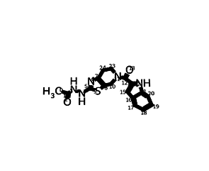 CC(=O)NNc1nc2c(s1)CN(C(=O)c1cc3ccccc3[nH]1)CC2